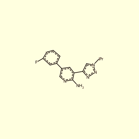 CC(C)n1cc(-c2cc(-c3cc[c]c(F)c3)cnc2N)nn1